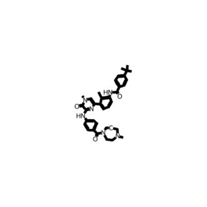 Cc1c(NC(=O)c2ccc(C(C)(C)C)cc2)cccc1-c1cn(C)c(=O)c(Nc2ccc(C(=O)N3CCCN(C)CC3)cc2)n1